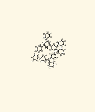 c1ccc(-c2ccc(-n3c4ccccc4c4cc(-c5cccc6c7ccccc7c7cc(-c8nc(-c9ccccc9)cc(-c9ccccc9)n8)ccc7c56)ccc43)cc2)cc1